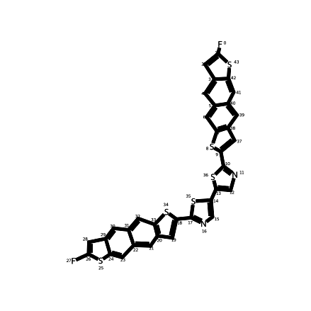 Fc1cc2cc3cc4sc(-c5ncc(-c6cnc(-c7cc8cc9cc%10sc(F)cc%10cc9cc8s7)s6)s5)cc4cc3cc2s1